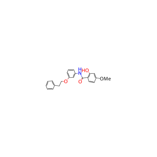 COc1ccc(C(=O)Nc2cccc(OCCc3ccccc3)c2)c(O)c1